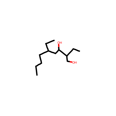 CCCCC(CC)CC(O)C(CC)CO